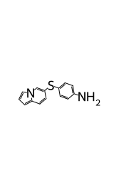 Nc1ccc(Sc2ccc3cccn3c2)cc1